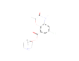 CC1Oc2c(C(=O)OC3CN4CCC3CC4)cc(Cl)cc2N(C)C1=O